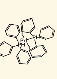 [I][Pd]([I])([PH](c1ccccc1)(c1ccccc1)c1ccccc1)[PH](c1ccccc1)(c1ccccc1)c1ccccc1